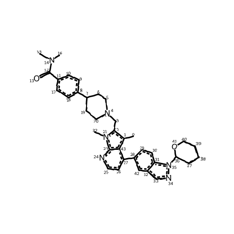 Cc1c(CN2CCC(c3ccc(C(=O)N(C)C)cc3)CC2)n(C)c2nccc(-c3ccc4c(cnn4C4CCCCO4)c3)c12